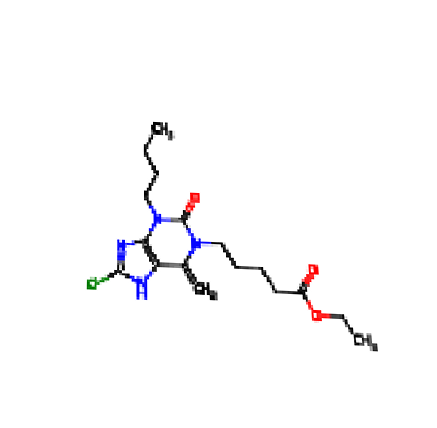 C=C1c2[nH]c(Cl)nc2N(CCCC)C(=O)N1CCCCC(=O)OCC